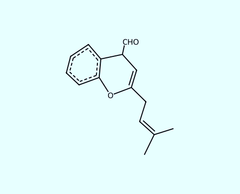 CC(C)=CCC1=CC(C=O)c2ccccc2O1